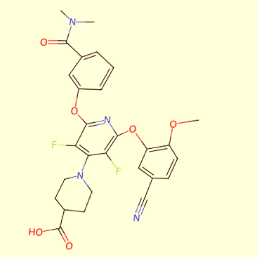 COc1ccc(C#N)cc1Oc1nc(Oc2cccc(C(=O)N(C)C)c2)c(F)c(N2CCC(C(=O)O)CC2)c1F